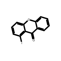 O=c1c2ccccc2oc2cccc(I)c12